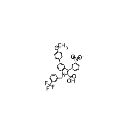 COc1ccc(-c2ccc3c(c2)c(-c2cccc([N+](=O)[O-])c2)c(C(=O)O)n3Cc2cccc(C(F)(F)F)c2)cc1